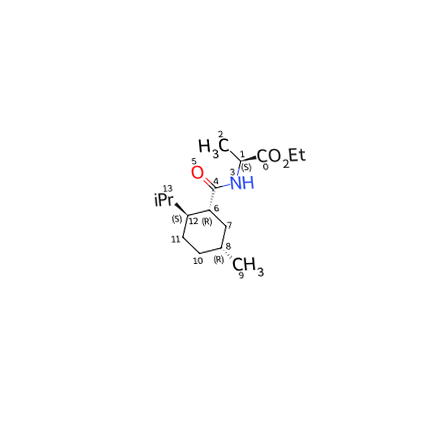 CCOC(=O)[C@H](C)NC(=O)[C@@H]1C[C@H](C)CC[C@H]1C(C)C